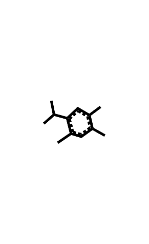 Cc1cc(C)c(C(C)C)cc1C